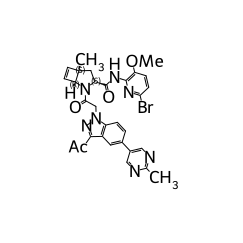 COc1ccc(Br)nc1NC(=O)[C@@H]1C[C@@]2(C)C=C[C@H]2N1C(=O)Cn1nc(C(C)=O)c2cc(-c3cnc(C)nc3)ccc21